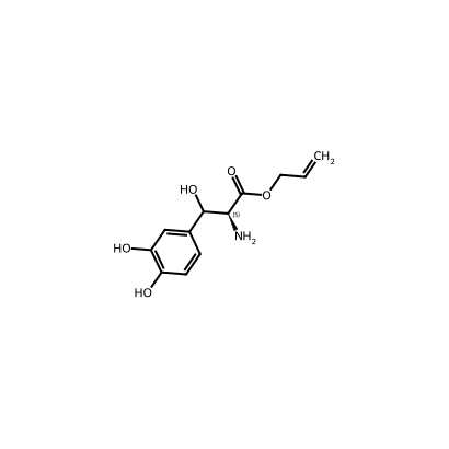 C=CCOC(=O)[C@@H](N)C(O)c1ccc(O)c(O)c1